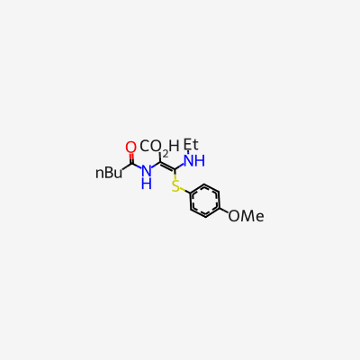 CCCCC(=O)NC(C(=O)O)=C(NCC)Sc1ccc(OC)cc1